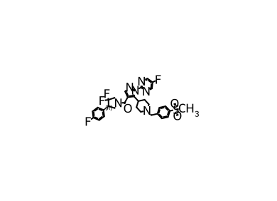 CS(=O)(=O)c1ccc(CN2CCC(c3c(C(=O)N4C[C@@H](c5ccc(F)cc5)C(F)(F)C4)cnn3-c3ncc(F)cn3)CC2)cc1